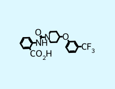 O=C(O)c1ccccc1NC(=O)N1CCC(Oc2cccc(C(F)(F)F)c2)CC1